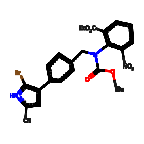 CCOC(=O)c1cccc([N+](=O)[O-])c1N(Cc1ccc(-c2cc(C#N)[nH]c2Br)cc1)C(=O)OC(C)(C)C